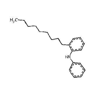 CCCCCCCCCc1ccccc1Nc1ccccc1